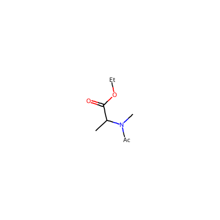 CCOC(=O)C(C)N(C)C(C)=O